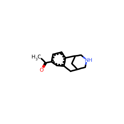 CC(=O)c1ccc2c(c1)CC1CNCC2C1